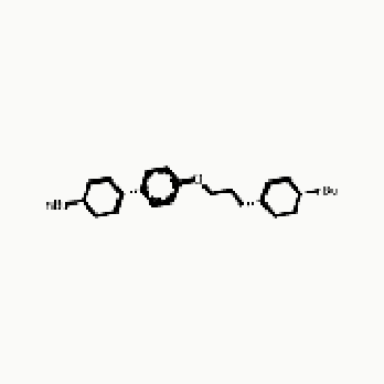 CCCC[C@H]1CC[C@H](CCCOc2ccc([C@H]3CC[C@H](CCCC)CC3)cc2)CC1